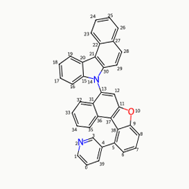 c1cncc(-c2cccc3oc4cc(-n5c6ccccc6c6c7ccccc7ccc65)c5ccccc5c4c23)c1